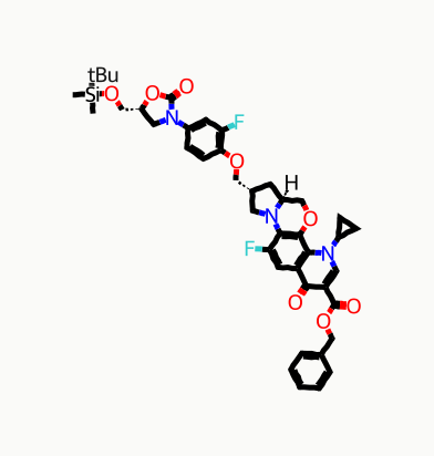 CC(C)(C)[Si](C)(C)OC[C@H]1CN(c2ccc(OC[C@@H]3C[C@H]4COc5c(c(F)cc6c(=O)c(C(=O)OCc7ccccc7)cn(C7CC7)c56)N4C3)c(F)c2)C(=O)O1